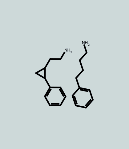 NCCC1CC1c1ccccc1.NCCCCc1ccccc1